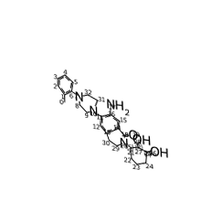 Cc1ccccc1N1CCN(c2cc3c(cc2N)C(=O)N([C@H]2CCC[C@H](O)[C@@H]2O)CC3)CC1